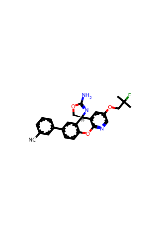 CC(C)(F)COc1cnc2c(c1)[C@]1(COC(N)=N1)c1cc(-c3cccc(C#N)c3)ccc1O2